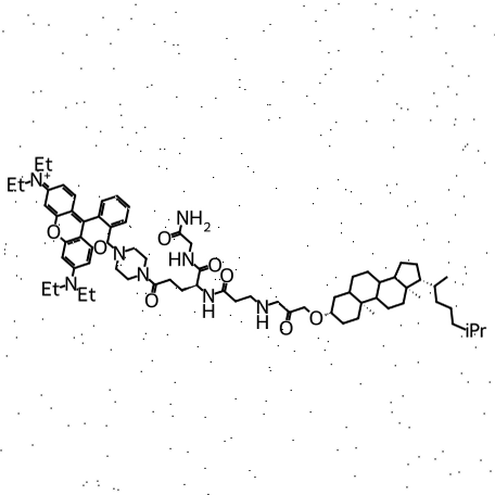 CCN(CC)c1ccc2c(-c3ccccc3C(=O)N3CCN(C(=O)CC[C@H](NC(=O)CCNCC(=O)CO[C@H]4CC[C@@]5(C)C(CCC6C5CC[C@@]5(C)C6CC[C@@H]5C(C)CCCC(C)C)C4)C(=O)NCC(N)=O)CC3)c3ccc(=[N+](CC)CC)cc-3oc2c1